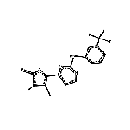 Cc1c(-c2ccnc(Nc3cccc(C(F)(F)F)c3)n2)sc(=O)n1C